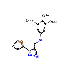 COc1cc(NCc2c[nH]nc2-c2cccs2)cc(OC)c1OC